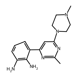 Cc1nc(-c2cccc(N)c2N)cc(N2CCN(C)CC2)n1